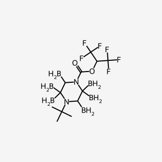 BC1N(C(C)(C)C)C(B)(B)C(B)N(C(=O)OC(C(F)(F)F)C(F)(F)F)C1(B)B